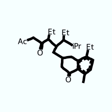 CCc1ccc(C)c2c1CC(CC(C(CC)C(=O)CC(C)=O)C(CC)C(C)C)CC2=O